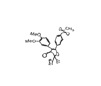 CCC1(CC)OC(c2ccc(S(C)(=O)=O)cc2)=C(c2ccc(OC)c(OC)c2)C1=O